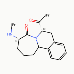 CC(C)N[C@H]1CCCC2c3ccccc3C[C@@H](C(=O)C(C)C)N2C1=O